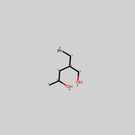 CC(C)CC(CO)CC(C)O